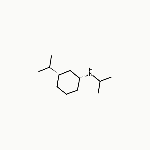 CC(C)N[C@@H]1CCC[C@H](C(C)C)C1